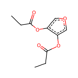 CCC(=O)Oc1cocc1OC(=O)CC